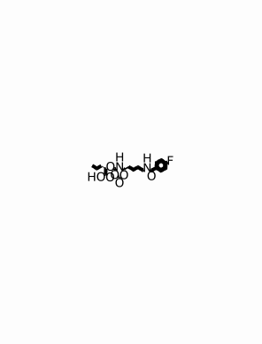 CCC[C@H](OC(=O)N[C@@H](CCCCNC(=O)c1ccc(F)cc1)OC=O)C(=O)O